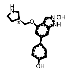 Cl.Oc1ccc(-c2cc(OC[C@H]3CCNC3)c3cn[nH]c3c2)cc1